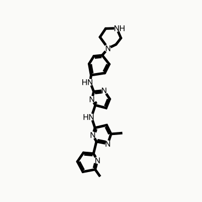 Cc1cccc(-c2nc(C)cc(Nc3ccnc(Nc4ccc(N5CCNCC5)cc4)n3)n2)n1